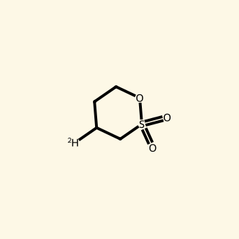 [2H]C1CCOS(=O)(=O)C1